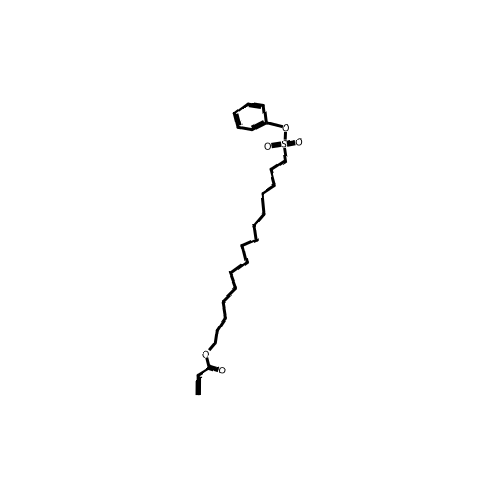 C=CC(=O)OCCCCCCCCCCCCCCCS(=O)(=O)Oc1ccccc1